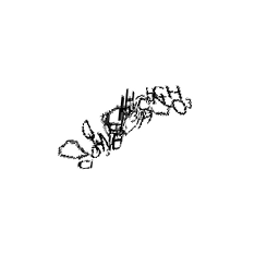 CN1C(=O)C=C[C@]2(C)[C@H]3CC[C@]4(C)[C@@H](NC(=O)Oc5ccccc5Cl)CC[C@H]4[C@@H]3CC[C@@H]12